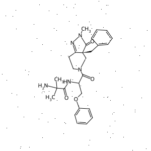 CN1N=C2CCN(C(=O)C(COc3ccccc3)NC(=O)C(C)(C)N)C[C@@]2(Cc2ccccc2)C1=O